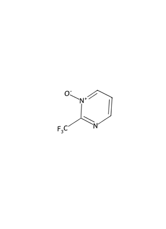 [O-][n+]1cccnc1C(F)(F)F